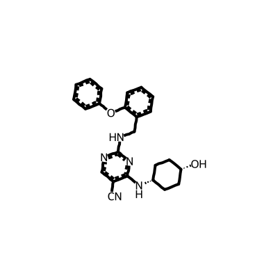 N#Cc1cnc(NCc2ccccc2Oc2ccccc2)nc1N[C@H]1CC[C@@H](O)CC1